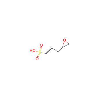 O=S(=O)(O)C=CCC1CO1